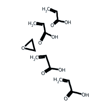 C1CO1.C=CC(=O)O.C=CC(=O)O.C=CC(=O)O.C=CC(=O)O